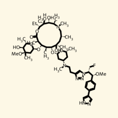 CC[C@H]1OC(=O)[C@H](C)[C@@H](O[C@H]2C[C@@](C)(OC)[C@@H](O)[C@H](C)O2)[C@H](C)[C@@H](O[C@H]2C[C@@H](N(C)CCc3cn([C@H](CF)[C@H](OC)c4ccc(-c5cn[nH]c5)cc4)nn3)C[C@@H](C)O2)[C@](C)(O)C[C@@H](C)CN(C)[C@H](C)[C@@H](O)[C@]1(C)O